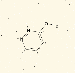 COc1cc[c]nn1